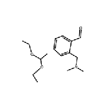 CCOC(C)OCC.CN(C)Cc1ccccc1C=O